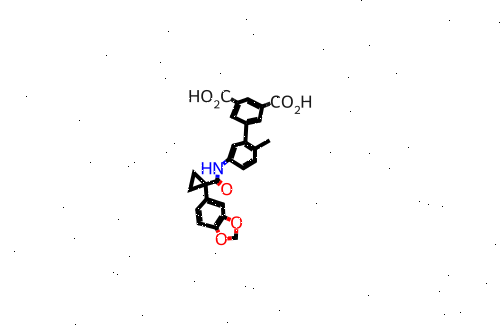 Cc1ccc(NC(=O)C2(c3ccc4c(c3)OCO4)CC2)cc1-c1cc(C(=O)O)cc(C(=O)O)c1